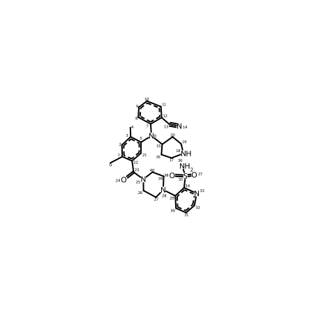 Cc1cc(C)c(N(c2ccccc2C#N)C2CCNCC2)cc1C(=O)N1CCN(c2cccnc2S(N)(=O)=O)CC1